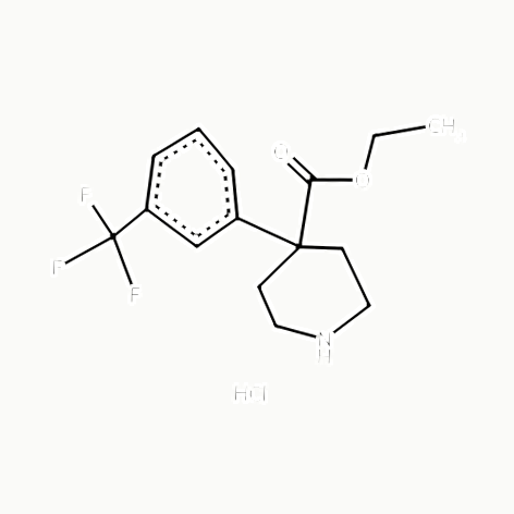 CCOC(=O)C1(c2cccc(C(F)(F)F)c2)CCNCC1.Cl